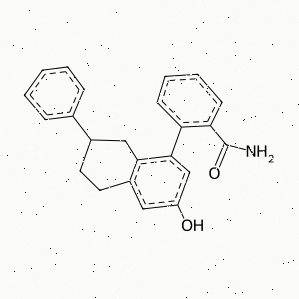 NC(=O)c1ccccc1-c1cc(O)cc2c1CC(c1ccccc1)CC2